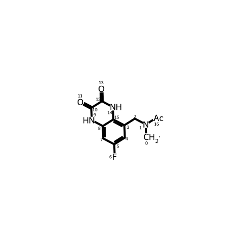 [CH2]N(Cc1cc(F)cc2[nH]c(=O)c(=O)[nH]c12)C(C)=O